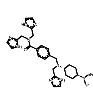 CCCN(CCC)[C@H]1CC[C@H](N(Cc2ccc(C(=O)N(Cc3ncc[nH]3)Cc3ncc[nH]3)cc2)Cc2ncc[nH]2)CC1